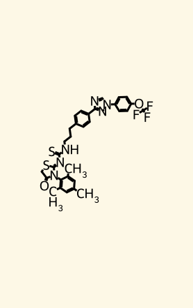 Cc1cc(C)c(N2C(=O)CS/C2=N\C(=S)NCCCc2ccc(-c3ncn(-c4ccc(OC(F)(F)F)cc4)n3)cc2)c(C)c1